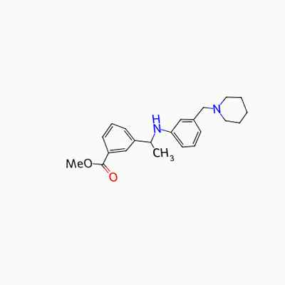 COC(=O)c1cccc(C(C)Nc2cccc(CN3CCCCC3)c2)c1